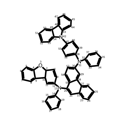 C1=CC2Oc3ccccc3C2C=C1N(c1ccccc1)c1cc2ccccc2c2cc(N(c3ccccc3)c3ccc(-n4c5ccccc5c5ccccc54)cc3)ccc12